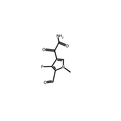 Cn1cc(C(=O)C(N)=O)c(F)c1C=O